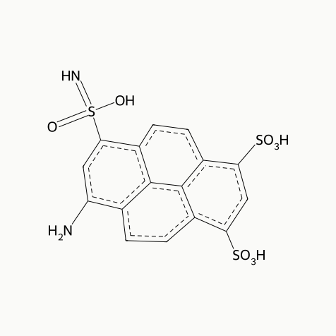 N=S(=O)(O)c1cc(N)c2ccc3c(S(=O)(=O)O)cc(S(=O)(=O)O)c4ccc1c2c34